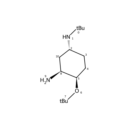 CC(C)(C)N[C@@H]1CC[C@@H](OC(C)(C)C)[C@@H](N)C1